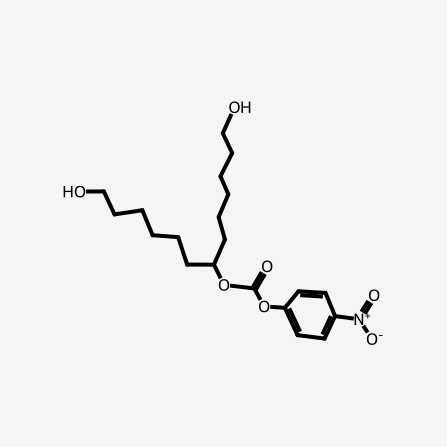 O=C(Oc1ccc([N+](=O)[O-])cc1)OC(CCCCCCO)CCCCCCO